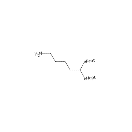 CCCCCCCC(CCCCC)CCCCN